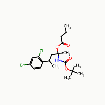 CCCC(=O)O[C@@](C)(CC(C)c1ccc(Br)cc1Cl)NC(=O)OC(C)(C)C